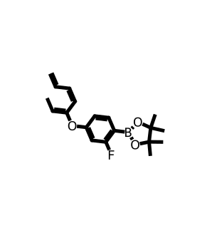 C=C/C=C\C(=C/C)Oc1ccc(B2OC(C)(C)C(C)(C)O2)c(F)c1